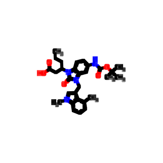 CCCC(CC(=O)O)n1c(=O)n(Cc2cn(C)c3cccc(C)c23)c2cc(NC(=O)OC(C)(C)C)ccc21